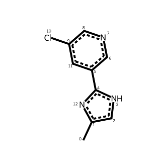 Cc1c[nH]c(-c2cncc(Cl)c2)n1